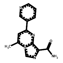 Cc1cc(-c2cccnc2)nc2c(C(N)=O)ncn12